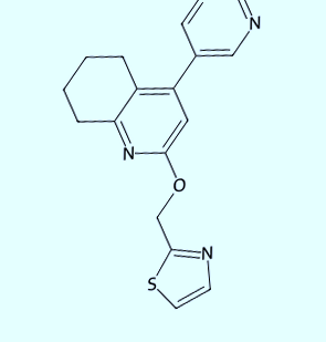 c1ncc(-c2cc(OCc3nccs3)nc3c2CCCC3)cn1